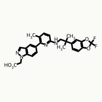 Cc1ccc(NCC(C)(C)c2ccc3c(c2)OC(F)(F)O3)nc1-c1ccc2c(cnn2CC(=O)O)c1